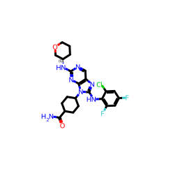 NC(=O)C1CCC(n2c(Nc3c(F)cc(F)cc3Cl)nc3cnc(N[C@H]4CCCOC4)nc32)CC1